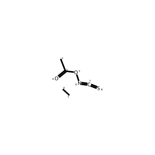 CC.CC(=O)ON=C=S